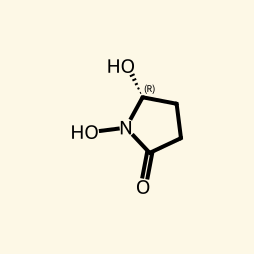 O=C1CC[C@@H](O)N1O